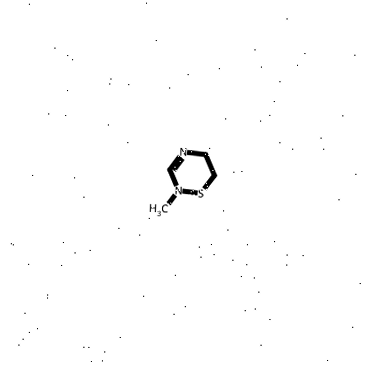 CN1C=NCCS1